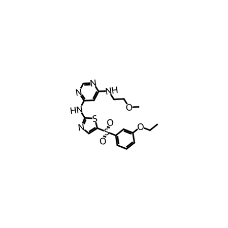 CCOc1cccc(S(=O)(=O)c2cnc(Nc3cc(NCCOC)ncn3)s2)c1